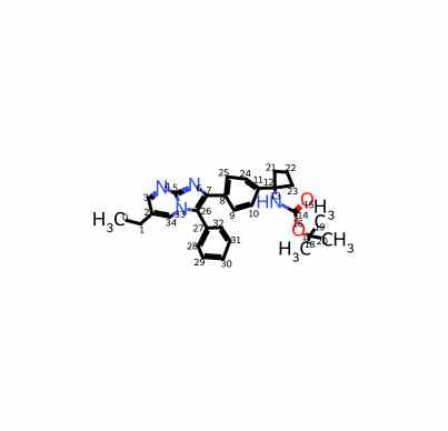 CCc1cnc2nc(-c3ccc(C4(NC(=O)OC(C)(C)C)CCC4)cc3)c(-c3ccccc3)n2c1